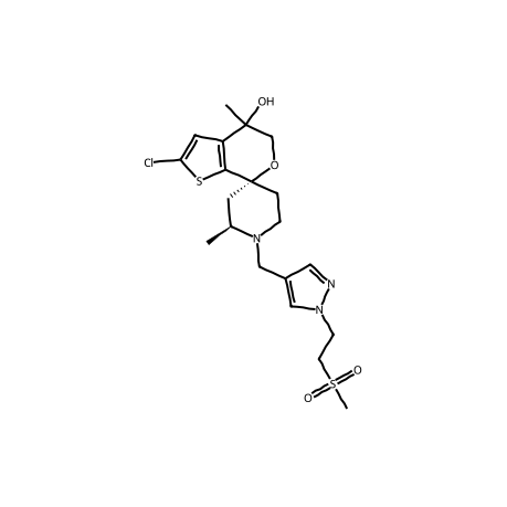 C[C@H]1C[C@@]2(CCN1Cc1cnn(CCS(C)(=O)=O)c1)OCC(C)(O)c1cc(Cl)sc12